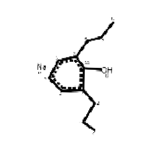 CCCc1cccc(CCC)c1O.[Na]